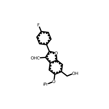 CC(C)Oc1cc2c(C=O)c(-c3ccc(F)cc3)oc2cc1CO